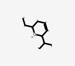 CCC1CC=CC(C(C)C)O1